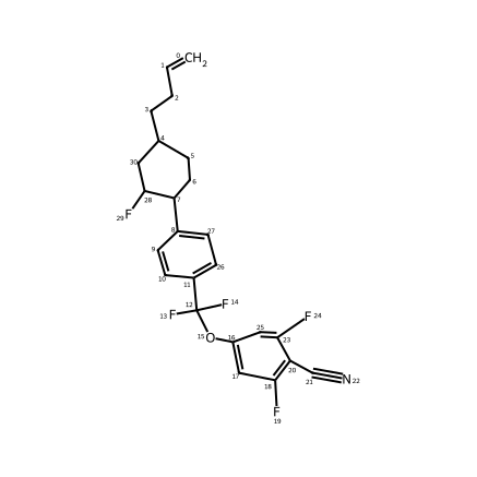 C=CCCC1CCC(c2ccc(C(F)(F)Oc3cc(F)c(C#N)c(F)c3)cc2)C(F)C1